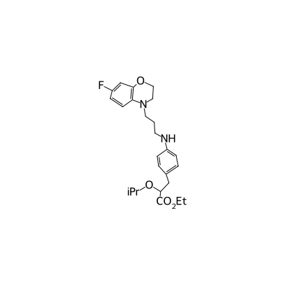 CCOC(=O)C(Cc1ccc(NCCCN2CCOc3cc(F)ccc32)cc1)OC(C)C